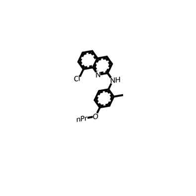 CCCOc1ccc(Nc2ccc3cccc(Cl)c3n2)c(C)c1